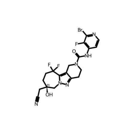 N#CC[C@]1(O)CCC(F)(F)c2c3c(nn2C1)CCN(C(=O)Nc1ccnc(Br)c1F)C3